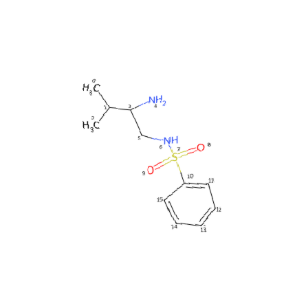 CC(C)C(N)CNS(=O)(=O)c1cc[c]cc1